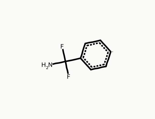 NC(F)(F)c1cc[c]cc1